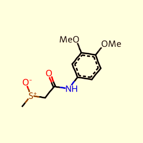 COc1ccc(NC(=O)C[S+](C)[O-])cc1OC